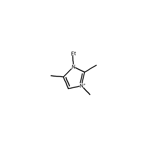 CCn1c(C)c[n+](C)c1C